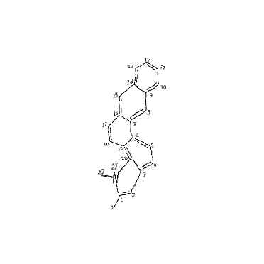 Cc1cc2ccc3c4cc5ccccc5cc4ccc3c2n1C